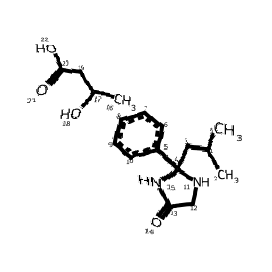 CC(C)CC1(c2ccccc2)NCC(=O)N1.CC(O)CC(=O)O